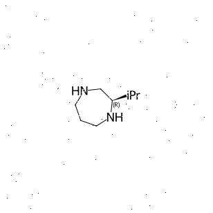 CC(C)[C@@H]1CNCCCN1